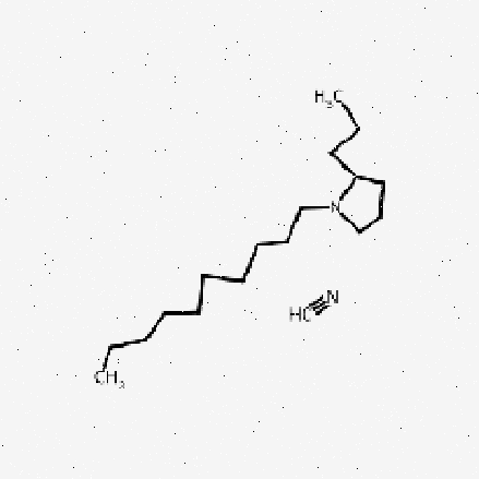 C#N.CCCCCCCCCCN1CCCC1CCC